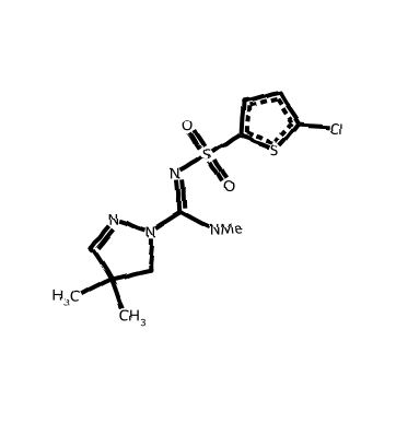 CN/C(=N\S(=O)(=O)c1ccc(Cl)s1)N1CC(C)(C)C=N1